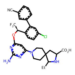 CCC1NC(C(=O)O)CC12CCN(c1cc(O[C@H](c3ccc(Cl)cc3-c3cccc(C#N)c3)C(F)(F)F)nc(N)n1)CC2